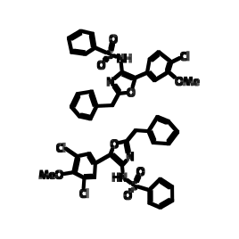 COc1c(Cl)cc(-c2oc(Cc3ccccc3)nc2NS(=O)(=O)c2ccccc2)cc1Cl.COc1cc(-c2oc(Cc3ccccc3)nc2NS(=O)(=O)c2ccccc2)ccc1Cl